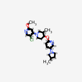 COc1cc(N2CCC(Oc3ccc(N4CCC(C)C4)cn3)C(C)C2)c(Cl)cn1